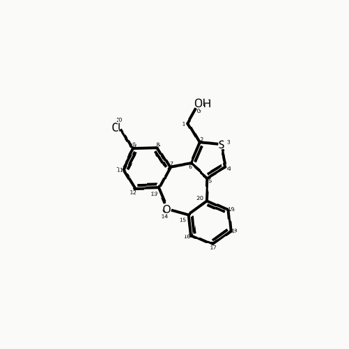 OCc1scc2c1-c1cc(Cl)ccc1Oc1ccccc1-2